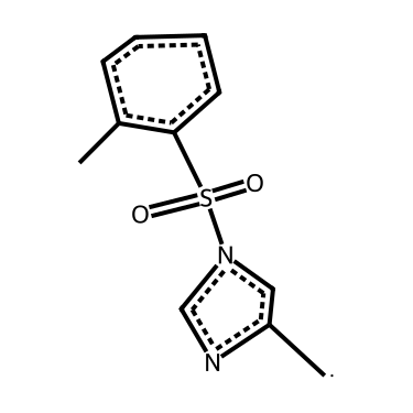 [CH2]c1cn(S(=O)(=O)c2ccccc2C)cn1